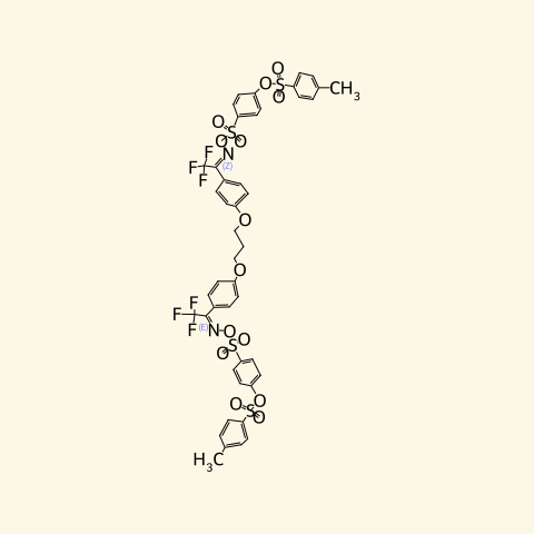 Cc1ccc(S(=O)(=O)Oc2ccc(S(=O)(=O)O/N=C(/c3ccc(OCCCOc4ccc(/C(=N\OS(=O)(=O)c5ccc(OS(=O)(=O)c6ccc(C)cc6)cc5)C(F)(F)F)cc4)cc3)C(F)(F)F)cc2)cc1